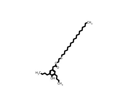 CCCCCCCCCCCCCCCCCCSCCOC(=O)Cc1cc(CCCC)c(O)c(CCCC)c1